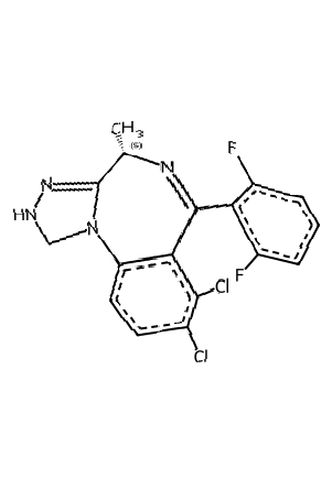 C[C@@H]1N=C(c2c(F)cccc2F)c2c(ccc(Cl)c2Cl)N2CNN=C12